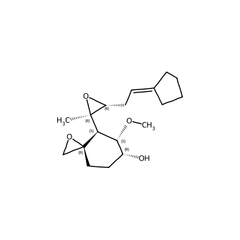 CO[C@@H]1[C@H](O)CC[C@]2(CO2)[C@H]1[C@@]1(C)O[C@@H]1CC=C1CCCC1